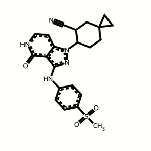 CS(=O)(=O)c1ccc(Nc2nn(C3CCC4(CC4)CC3C#N)c3cc[nH]c(=O)c23)cc1